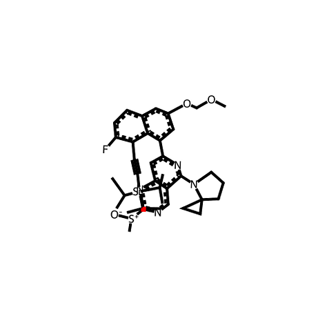 COCOc1cc(-c2cc3nc([S+](C)[O-])ncc3c(N3CCCC34CC4)n2)c2c(C#C[Si](C(C)C)(C(C)C)C(C)C)c(F)ccc2c1